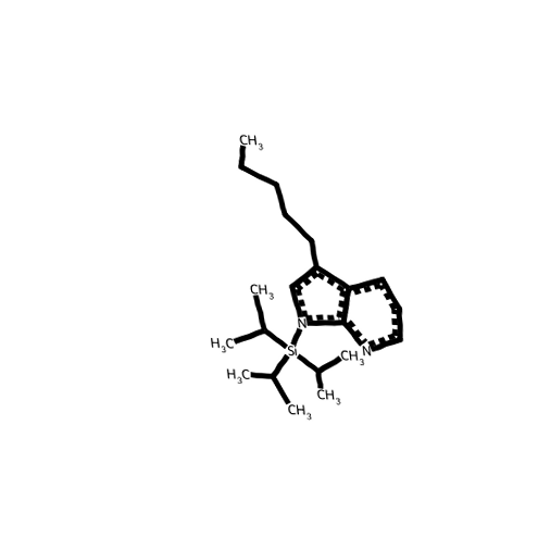 CCCCCc1cn([Si](C(C)C)(C(C)C)C(C)C)c2ncccc12